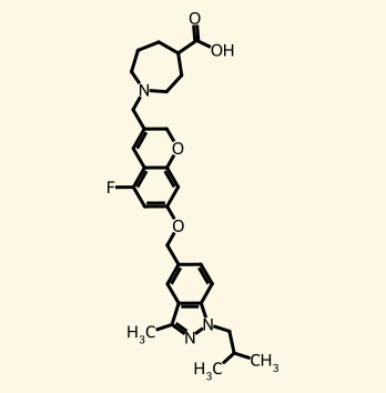 Cc1nn(CC(C)C)c2ccc(COc3cc(F)c4c(c3)OCC(CN3CCCC(C(=O)O)CC3)=C4)cc12